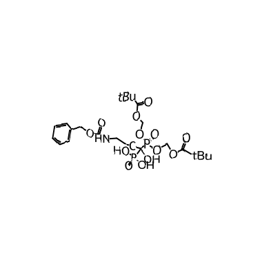 CC(C)(C)C(=O)OCOP(=O)(OCOC(=O)C(C)(C)C)C(O)(CCCNC(=O)OCc1ccccc1)P(=O)(O)O